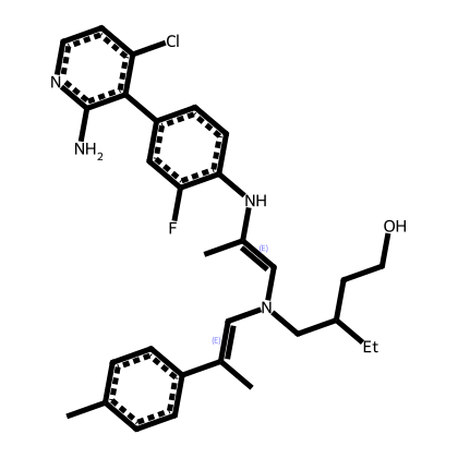 CCC(CCO)CN(/C=C(\C)Nc1ccc(-c2c(Cl)ccnc2N)cc1F)/C=C(\C)c1ccc(C)cc1